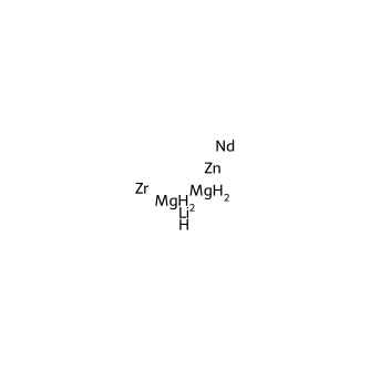 [LiH].[MgH2].[MgH2].[Nd].[Zn].[Zr]